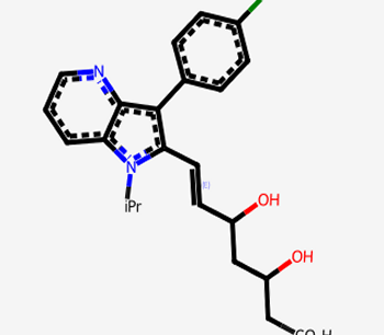 CC(C)n1c(/C=C/C(O)CC(O)CC(=O)O)c(-c2ccc(F)cc2)c2ncccc21